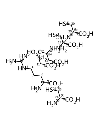 N=C(N)NCCC[C@H](N)C(=O)O.NCC(=O)O.N[C@@H](CC(=O)O)C(=O)O.N[C@@H](CS)C(=O)O.N[C@@H](CS)C(=O)O.N[C@@H](CS)C(=O)O